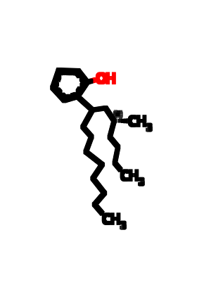 CCCCCCCCC(C[C@H](C)CCCC)c1ccccc1O